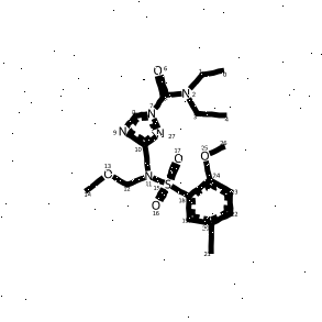 CCN(CC)C(=O)n1cnc(N(COC)S(=O)(=O)c2cc(C)ccc2OC)n1